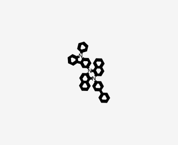 c1ccc(-c2ccc(N3c4ccc5ccccc5c4N(c4ccc5c(c4)c4ccccc4n5-c4ccccc4)c4ccc5ccccc5c43)cc2)cc1